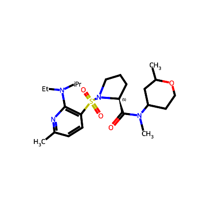 CCN(c1nc(C)ccc1S(=O)(=O)N1CCC[C@H]1C(=O)N(C)C1CCOC(C)C1)C(C)C